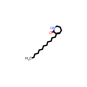 CCCCCCCCCCCCC1=CCCCNC1=O